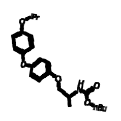 CCCCOC(=O)NC(C)COc1ccc(Oc2ccc(OC(C)C)cc2)cc1